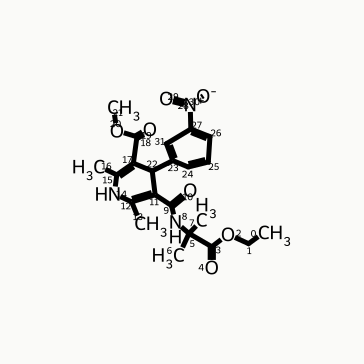 CCOC(=O)C(C)(C)NC(=O)C1=C(C)NC(C)=C(C(=O)OC)C1c1cccc([N+](=O)[O-])c1